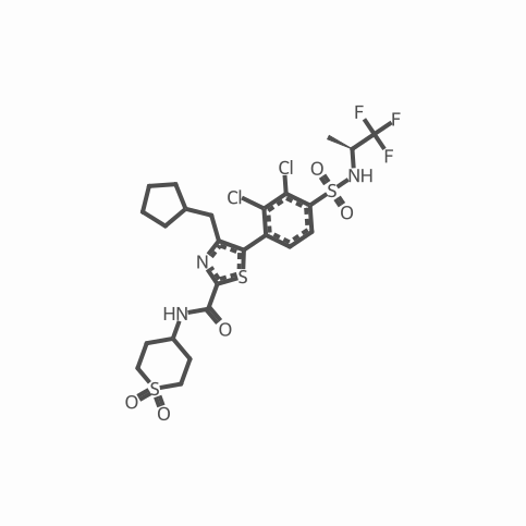 C[C@H](NS(=O)(=O)c1ccc(-c2sc(C(=O)NC3CCS(=O)(=O)CC3)nc2CC2CCCC2)c(Cl)c1Cl)C(F)(F)F